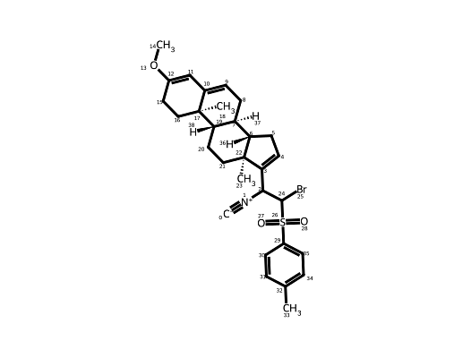 [C-]#[N+]C(C1=CC[C@H]2[C@@H]3CC=C4C=C(OC)CC[C@]4(C)[C@H]3CC[C@]12C)C(Br)S(=O)(=O)c1ccc(C)cc1